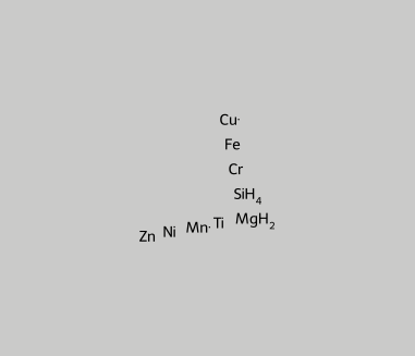 [Cr].[Cu].[Fe].[MgH2].[Mn].[Ni].[SiH4].[Ti].[Zn]